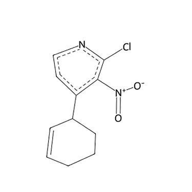 O=[N+]([O-])c1c(C2C=CCCC2)ccnc1Cl